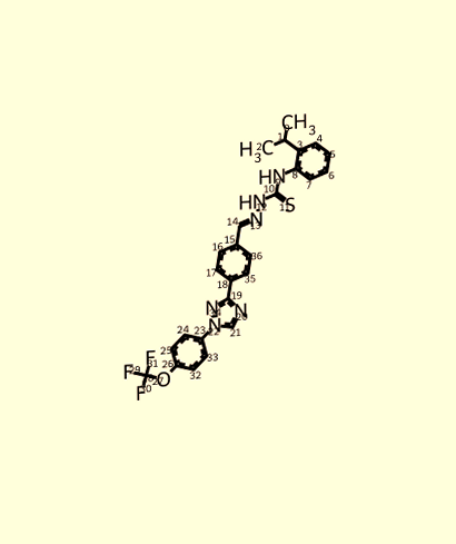 CC(C)c1ccccc1NC(=S)NN=Cc1ccc(-c2ncn(-c3ccc(OC(F)(F)F)cc3)n2)cc1